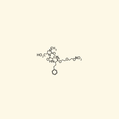 CC(NC(CCc1ccccc1)C(=O)OCCOCCO[N+](=O)[O-])C(=O)N1C(=O)N(C)CC1C(=O)O